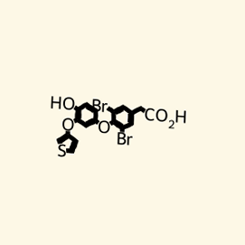 O=C(O)Cc1cc(Br)c(Oc2ccc(O)c(Oc3ccsc3)c2)c(Br)c1